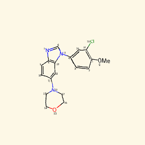 COc1ccc(-n2cnc3ccc(N4CCOCC4)cc32)cc1Cl